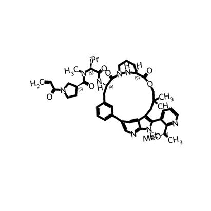 C=CC(=O)N1CC[C@H](C(=O)N(C)[C@H](C(=O)N[C@H]2Cc3cccc(c3)-c3cnc4c(c3)c(c(-c3cccnc3[C@H](C)OC)n4CC)CC(C)(C)COC(=O)[C@@H]3CCCN(N3)C2=O)C(C)C)C1